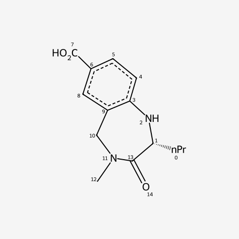 CCC[C@H]1Nc2ccc(C(=O)O)cc2CN(C)C1=O